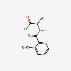 CC(C)C(C(=O)Cl)N(C)C(=O)c1ccccc1C=O